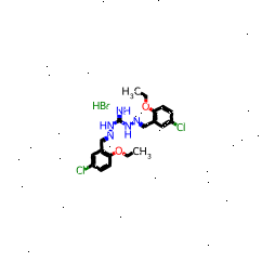 Br.CCOc1ccc(Cl)cc1C=NNC(=N)NN=Cc1cc(Cl)ccc1OCC